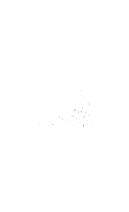 COc1nc(-c2cccc(-c3cccc(-c4cc5c(c(OC)n4)C(N4CC6(CN(C(C)=O)C6)C4)CC5)c3Cl)c2Cl)cnc1CN1CC2(C1)CN(C(C)=O)C2